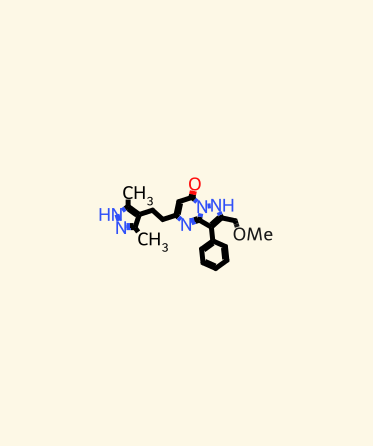 COCc1[nH]n2c(=O)cc(CCc3c(C)n[nH]c3C)nc2c1-c1ccccc1